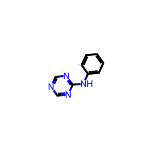 [c]1ccccc1Nc1ncncn1